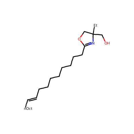 CCCCCCCCC=CCCCCCCCCC1=NC(CC)(CO)CO1